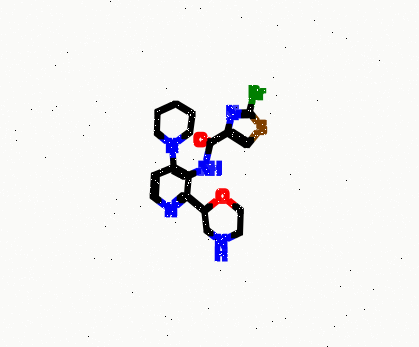 O=C(Nc1c(N2CCCCC2)ccnc1C1CNCCO1)c1csc(Br)n1